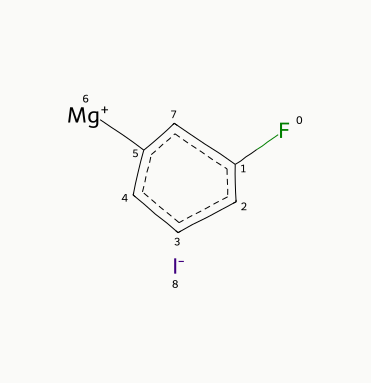 Fc1ccc[c]([Mg+])c1.[I-]